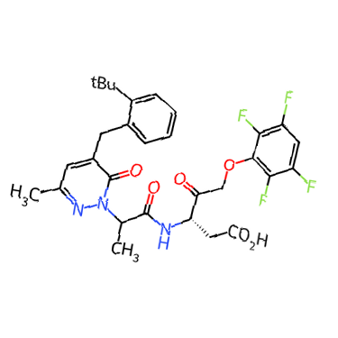 Cc1cc(Cc2ccccc2C(C)(C)C)c(=O)n(C(C)C(=O)N[C@@H](CC(=O)O)C(=O)COc2c(F)c(F)cc(F)c2F)n1